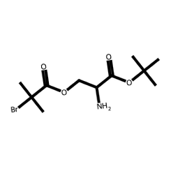 CC(C)(C)OC(=O)C(N)COC(=O)C(C)(C)Br